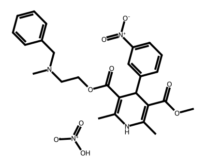 COC(=O)C1=C(C)NC(C)=C(C(=O)OCCN(C)Cc2ccccc2)C1c1cccc([N+](=O)[O-])c1.O=[N+]([O-])O